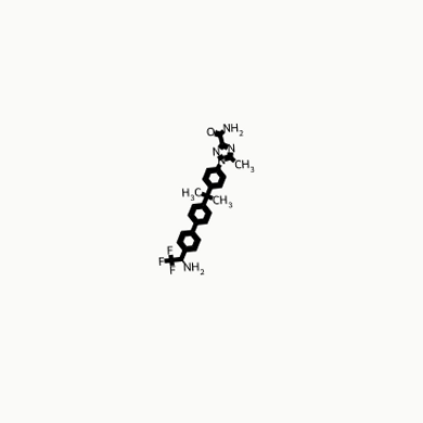 Cc1nc(C(N)=O)nn1-c1ccc(C(C)(C)c2ccc(-c3ccc([C@H](N)C(F)(F)F)cc3)cc2)cc1